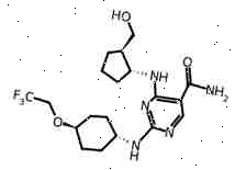 NC(=O)c1cnc(N[C@H]2CC[C@H](OCC(F)(F)F)CC2)nc1N[C@@H]1CCC[C@H]1CO